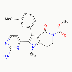 COc1cccc(-c2c3c(n(C)c2-c2ccnc(N)n2)CCN(C(=O)OC(C)(C)C)C3=O)c1